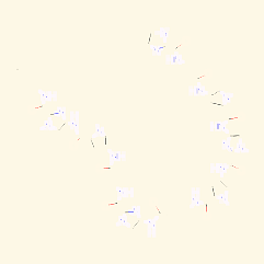 Cn1cc(NC(=O)c2nc(NC(=O)c3cc(NC(=O)CCNC(=O)c4nccn4C)cn3C)cn2C)cc1C(=O)NCCCC(=O)Nc1cn(C)c(C(=O)NCCC(=O)Nc2cc(C(=O)Nc3cn(C)c(C(=O)NCCC(=O)O)n3)n(C)c2)n1